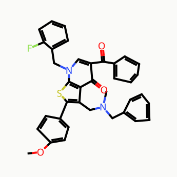 COc1ccc(-c2sc3c(c2CN(C)Cc2ccccc2)c(=O)c(C(=O)c2ccccc2)cn3Cc2ccccc2F)cc1